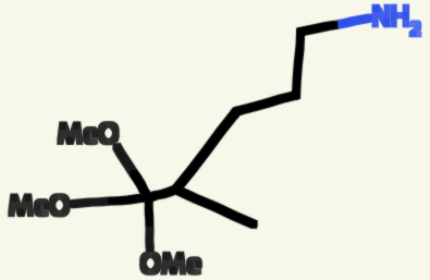 COC(OC)(OC)C(C)CCCN